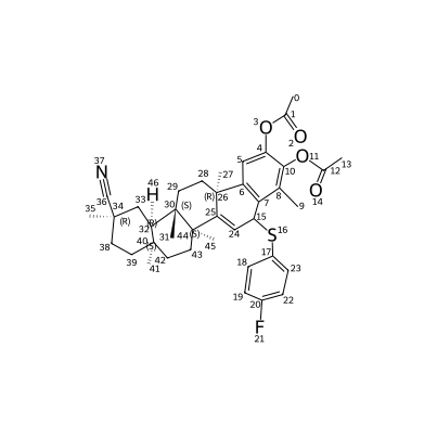 CC(=O)Oc1cc2c(c(C)c1OC(C)=O)C(Sc1ccc(F)cc1)C=C1[C@@]2(C)CC[C@@]2(C)[C@@H]3C[C@](C)(C#N)CC[C@]3(C)CC[C@]12C